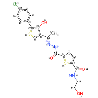 C/C(=N\NC(=O)c1ccc(C(=O)NCCO)s1)c1csc(-c2ccc(Cl)cc2)c1O